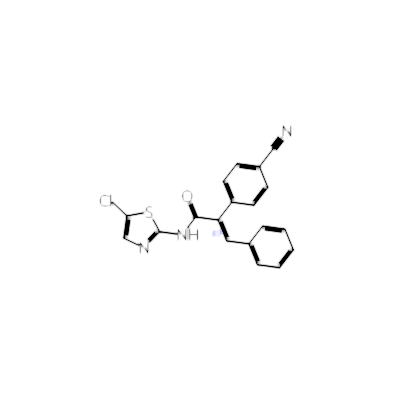 N#Cc1ccc(/C(=C\c2ccccc2)C(=O)Nc2ncc(Cl)s2)cc1